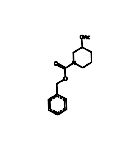 CC(=O)OC1CCCN(C(=O)OCc2ccccc2)C1